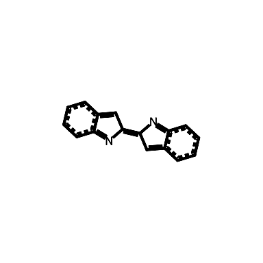 C1=c2ccccc2=NC1=C1C=c2ccccc2=N1